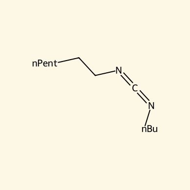 CCCCCCCN=C=NCCCC